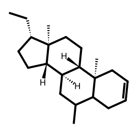 CC[C@H]1CC[C@H]2[C@@H]3CC(C)C4CC=CC[C@]4(C)[C@H]3CC[C@]12C